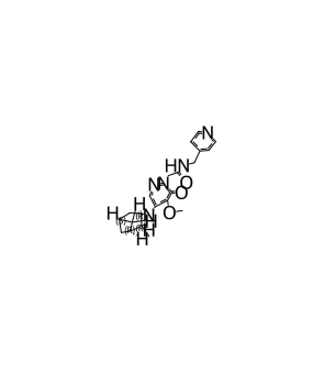 COc1c(N[C@@H]2C[C@@H]3C[C@H]([C@H]2C)C3(C)C)cnn(CC(=O)NCc2ccncc2)c1=O